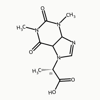 C[C@@H](C(=O)O)N1C=NC2C1C(=O)N(C)C(=O)N2C